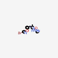 CC1CN(C(=O)Nc2cccnn2)CC/C1=C\c1cccc(Oc2ccc(Br)cn2)c1